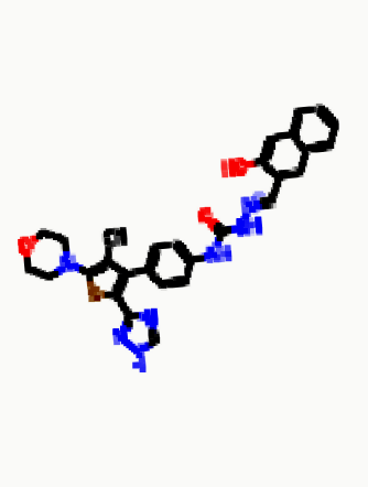 N#Cc1c(N2CCOCC2)sc(-c2nc[nH]n2)c1-c1ccc(NC(=O)N/N=C/c2cc3ccccc3cc2O)cc1